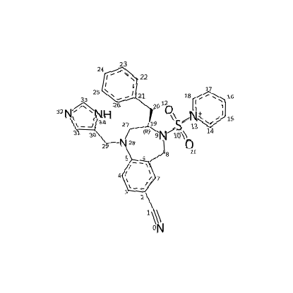 N#Cc1ccc2c(c1)CN(S(=O)(=O)[n+]1ccccc1)[C@H](Cc1ccccc1)CN2Cc1cnc[nH]1